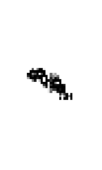 CCCN1C(Cc2cccc3ccccc23)CO[C@@H]2c3cc(O)ccc3CC[C@H]21